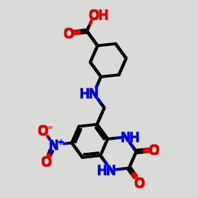 O=C(O)C1CCCC(NCc2cc([N+](=O)[O-])cc3[nH]c(=O)c(=O)[nH]c23)C1